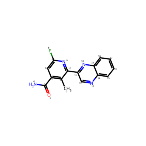 Cc1c(C(N)=O)cc(F)nc1-c1cnc2ccccc2n1